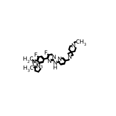 C=Nc1c(F)cc(-c2nc(Nc3ccc(CN4CC5(CCN(CC)CC5)C4)cn3)ncc2F)cc1N1CCCC1(C)C